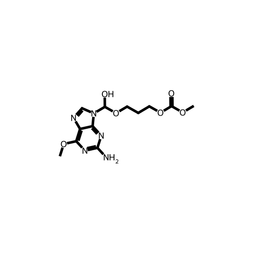 COC(=O)OCCCOC(O)n1cnc2c(OC)nc(N)nc21